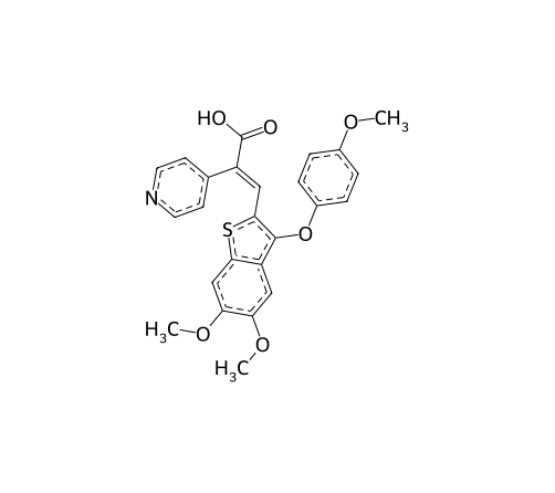 COc1ccc(Oc2c(/C=C(/C(=O)O)c3ccncc3)sc3cc(OC)c(OC)cc23)cc1